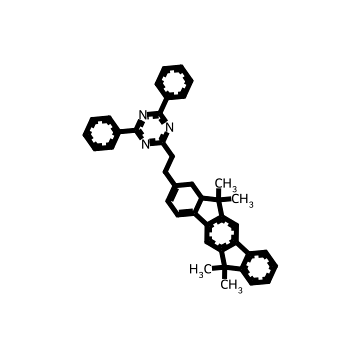 CC1(C)c2ccccc2-c2cc3c(cc21)C1=CC=C(CCc2nc(-c4ccccc4)nc(-c4ccccc4)n2)CC1C3(C)C